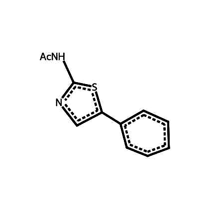 CC(=O)Nc1ncc(-c2ccccc2)s1